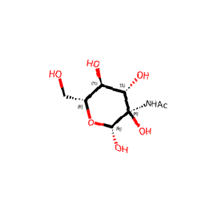 CC(=O)N[C@]1(O)[C@H](O)O[C@H](CO)[C@@H](O)[C@@H]1O